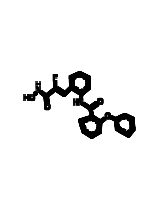 O=C(NO)C(F)=Cc1ccccc1NC(=O)c1ccccc1Oc1ccccc1